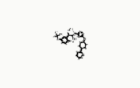 COC(c1cc(OC(F)(F)F)ccc1F)C(O)Nc1nnc(NC2CCC(c3cccnn3)CC2)s1